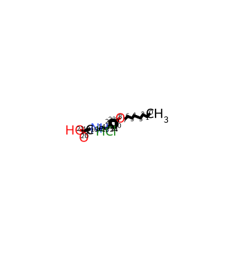 CCCCCCCCOc1ccc(CCCNCCC(=O)O)cc1.Cl